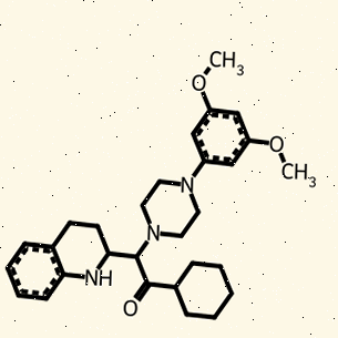 COc1cc(OC)cc(N2CCN(C(C(=O)C3CCCCC3)C3CCc4ccccc4N3)CC2)c1